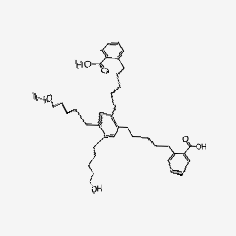 O=C(O)c1ccccc1CCCCCc1cc(CCCCCO)c(CCCCCO)cc1CCCCCc1ccccc1C(=O)O